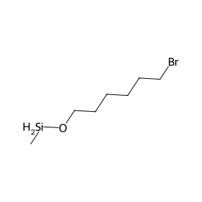 C[SiH2]OCCCCCCBr